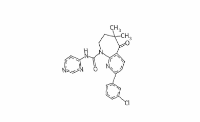 CC1(C)CCN(C(=O)Nc2ccncn2)c2nc(-c3cccc(Cl)c3)ccc2C1=O